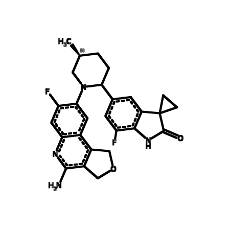 C[C@H]1CCC(c2cc(F)c3c(c2)C2(CC2)C(=O)N3)N(c2cc3c4c(c(N)nc3cc2F)COC4)C1